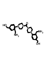 NCc1cc(CO)ccc1N1CCN(C(=O)N2CCN(c3ccc(CO)cc3CN)CC2)CC1